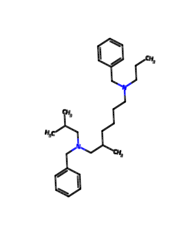 CCCN(CCCCC(C)CN(Cc1ccccc1)CC(C)C)Cc1ccccc1